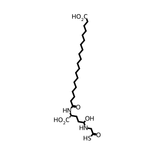 O=C(O)CCCCCCCCCCCCCCCCCCC(=O)N[C@@H](CCC(O)NCC(=O)S)C(=O)O